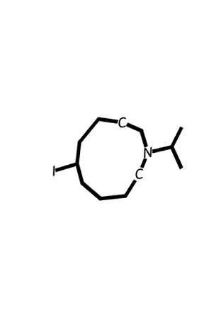 CC(C)N1CCCCC(I)CCCC1